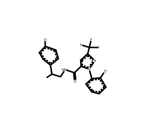 CC(CNC(=O)c1cc(C(F)(F)F)nn1-c1ccccc1Cl)c1ccc(Cl)cc1